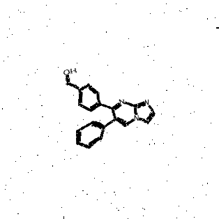 OCc1ccc(-c2nc3nccn3cc2-c2ccccc2)cc1